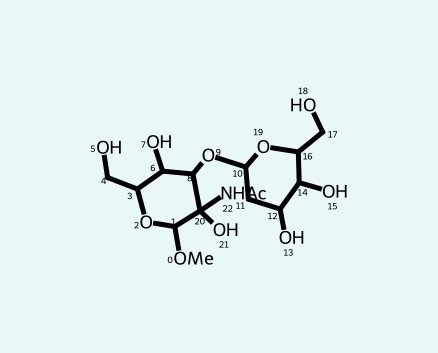 COC1OC(CO)C(O)C(OC2CC(O)C(O)C(CO)O2)C1(O)NC(C)=O